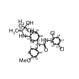 COc1ccc(N(C(=O)Nc2cc(Cl)ccc2Cl)c2ccnc(NC(C)C(C)(C)O)n2)cc1